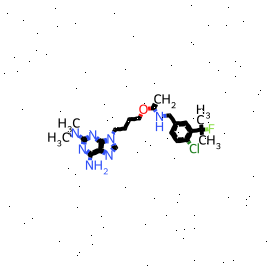 C=C(NCc1ccc(Cl)c(C(C)(C)F)c1)OCCCCn1cnc2c(N)nc(N(C)C)nc21